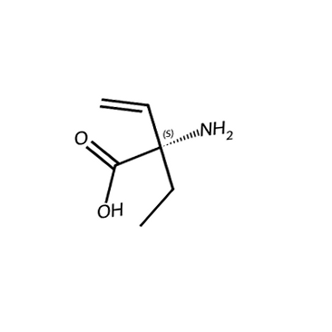 C=C[C@@](N)(CC)C(=O)O